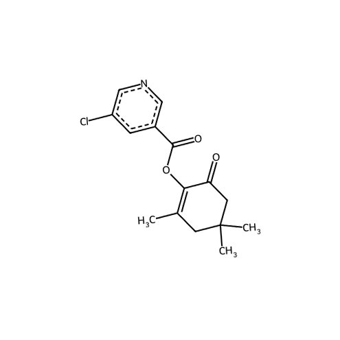 CC1=C(OC(=O)c2cncc(Cl)c2)C(=O)CC(C)(C)C1